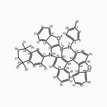 Cc1ccc(N2B3c4oc5ccccc5c4N(c4cc5c(cc4C)C(C)(C)CCC5(C)C)c4cc5ccccc5c(c43)-c3c2ccc2oc4ccccc4c32)cc1